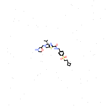 CC(C)[C@H]1c2nc(C(=O)NCc3ccc(S(=O)(=O)CCC4CCC4)cc3)sc2CN1CC1CNCCO1